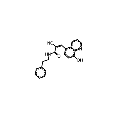 N#CC(=Cc1ccc(O)c2ncccc12)C(=O)NCCc1ccccc1